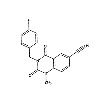 C#Cc1ccc2c(c1)c(=O)n(Cc1ccc(F)cc1)c(=O)n2C